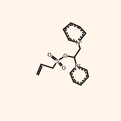 C=CCS(=O)(=O)OC(C[n+]1ccccc1)[n+]1ccccc1